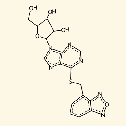 OCC1OC(n2cnc3c(SCc4cccc5nonc45)ncnc32)C(O)C1O